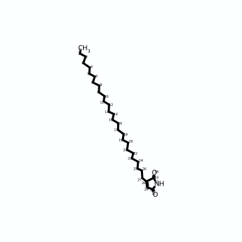 CCCCCCCCCCCCCCCCCCCCCCCCCCCCC1=CC(=O)NC1=O